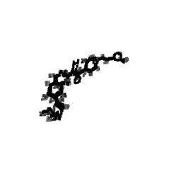 COCCN1CCC(C(=O)Nc2ncc3ccc(-c4cncn4C)cc3n2)CC1